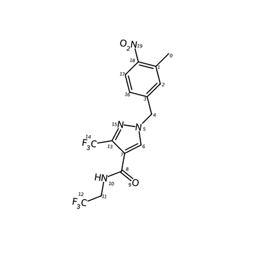 Cc1cc(Cn2cc(C(=O)NCC(F)(F)F)c(C(F)(F)F)n2)ccc1[N+](=O)[O-]